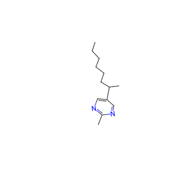 CCCCCCC(C)c1cnc(C)nc1